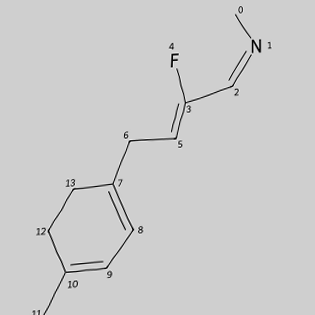 C/N=C\C(F)=CCC1=CC=C(C)CC1